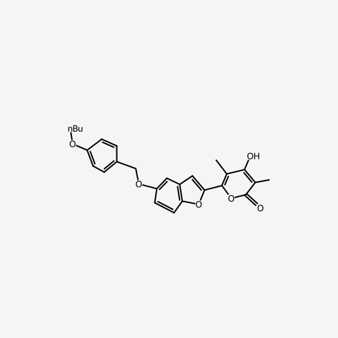 CCCCOc1ccc(COc2ccc3oc(-c4oc(=O)c(C)c(O)c4C)cc3c2)cc1